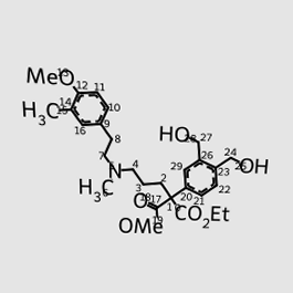 CCOC(=O)C(CCCN(C)CCc1ccc(OC)c(C)c1)(C(=O)OC)c1ccc(CO)c(CO)c1